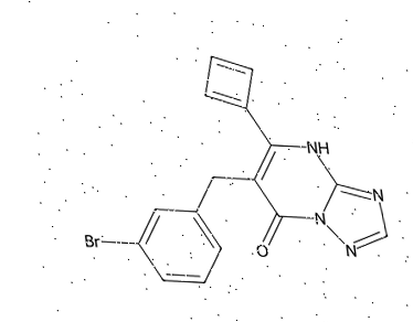 O=c1c(Cc2cccc(Br)c2)c(C2=CC=C2)[nH]c2ncnn12